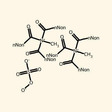 CCCCCCCCCC(=O)[N+](C)(C(=O)CCCCCCCCC)C(=O)CCCCCCCCC.CCCCCCCCCC(=O)[N+](C)(C(=O)CCCCCCCCC)C(=O)CCCCCCCCC.O=S(=O)([O-])O[O-]